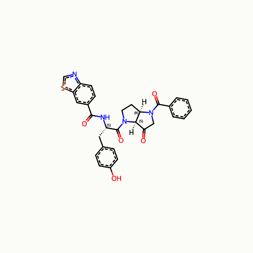 O=C(N[C@@H](Cc1ccc(O)cc1)C(=O)N1CC[C@@H]2[C@H]1C(=O)CN2C(=O)c1ccccc1)c1ccc2ncsc2c1